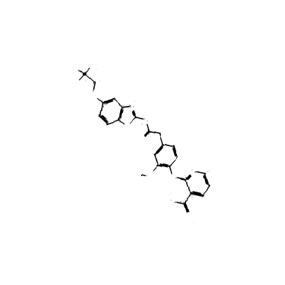 COc1cc(CC(=O)Nc2nc3cc(OCC(C)(C)O)ccc3s2)ccc1Oc1ncccc1C(N)=O